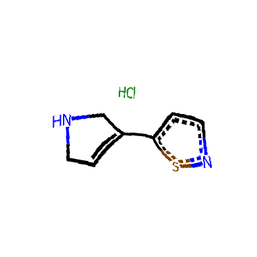 C1=C(c2ccns2)CNC1.Cl